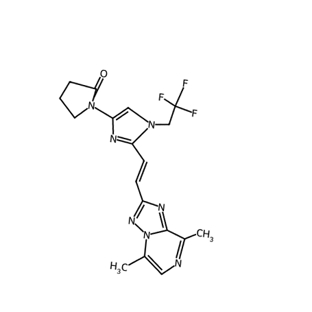 Cc1ncc(C)n2nc(C=Cc3nc(N4CCCC4=O)cn3CC(F)(F)F)nc12